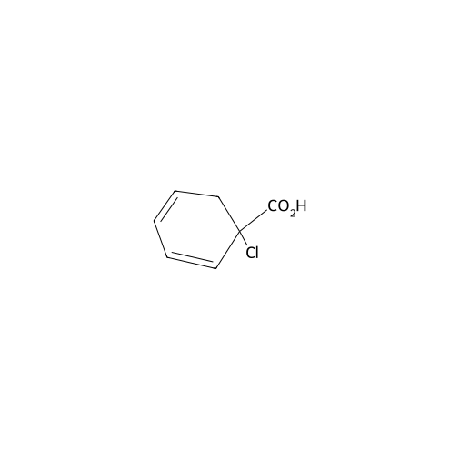 O=C(O)C1(Cl)C=CC=CC1